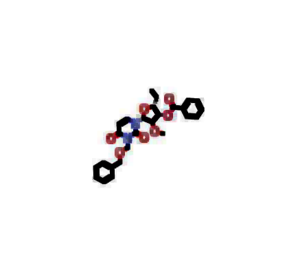 CC[C@H]1O[C@@H](n2ccc(=O)n(COCc3ccccc3)c2=O)C(OC)[C@H]1OC(=O)c1ccccc1